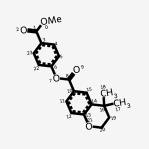 COC(=O)c1ccc(OC(=O)c2ccc3c(c2)C(C)(C)CCO3)cc1